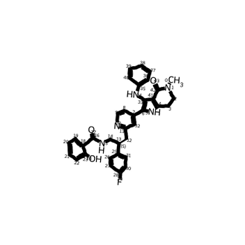 CN1CCc2[nH]c(-c3ccnc(C[C@H](CNC(=O)c4ccccc4O)c4ccc(F)cc4)c3)c(Nc3ccccc3)c2C1=O